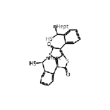 CCCCCCCC(S)c1ccccc1C1=C2SC(=O)C(c3ccccc3C(S)CCCCCCC)=C2SC1=O